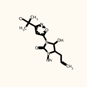 C=CCC1C(O)N(c2cc(C(C)(C)Cl)no2)C(=O)N1CCC